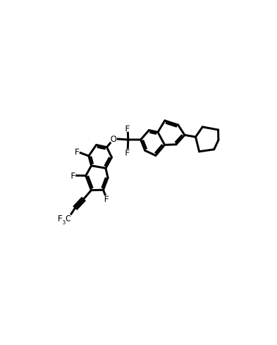 Fc1cc2cc(OC(F)(F)c3ccc4cc(C5CCCCC5)ccc4c3)cc(F)c2c(F)c1C#CC(F)(F)F